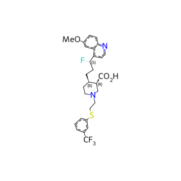 COc1ccc2nccc([C@@H](F)CC[C@@H]3CCN(CCSc4cccc(C(F)(F)F)c4)C[C@@H]3C(=O)O)c2c1